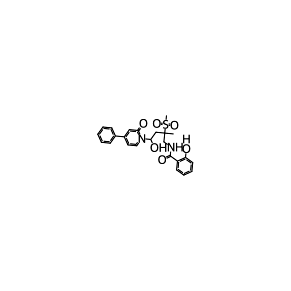 CC(CNC(=O)c1ccccc1O)(CC(O)n1ccc(-c2ccccc2)cc1=O)S(C)(=O)=O